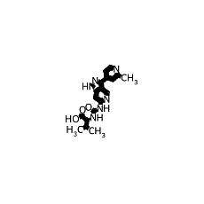 Cc1cc(-c2n[nH]c3cc(NC(=O)N[C@H](C(=O)O)C(C)C)ncc23)ccn1